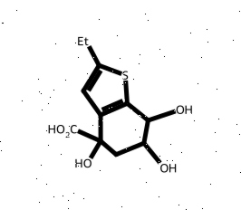 CCc1cc2c(s1)C(O)C(O)CC2(O)C(=O)O